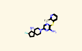 Nc1nc(N2CCC3(CC[C@@H](F)[C@@H]3N)CC2)cnc1Sc1cccnc1C(F)(F)F